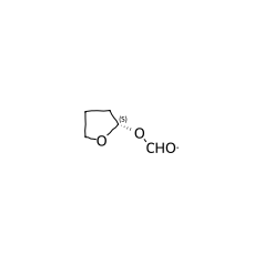 O=[C]O[C@H]1CCCO1